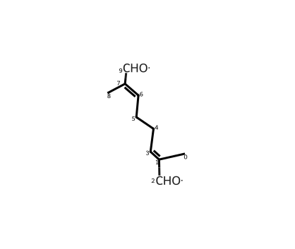 CC([C]=O)=CCCC=C(C)[C]=O